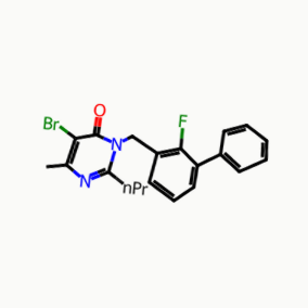 CCCc1nc(C)c(Br)c(=O)n1Cc1cccc(-c2ccccc2)c1F